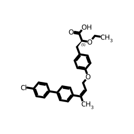 CCO[C@@H](Cc1ccc(OCC=C(C)c2ccc(-c3ccc(Cl)cc3)cc2)cc1)C(=O)O